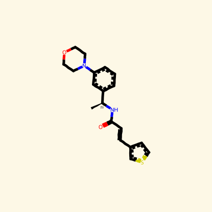 C[C@H](NC(=O)C=Cc1ccsc1)c1cccc(N2CCOCC2)c1